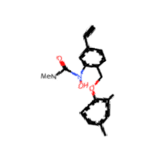 C=Cc1ccc(COc2ccc(C)cc2C)c(N(O)C(=O)NC)c1